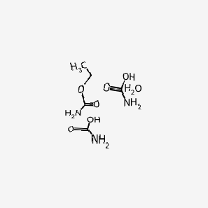 CCOC(N)=O.NC(=O)O.NC(=O)O.O